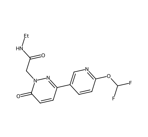 CCNC(=O)Cn1nc(-c2ccc(OC(F)F)nc2)ccc1=O